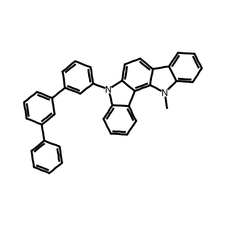 Cn1c2ccccc2c2ccc3c(c4ccccc4n3-c3cccc(-c4cccc(-c5ccccc5)c4)c3)c21